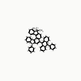 CC1(C)c2ccccc2-c2c1ccc1c(-c3c4ccccc4c(-c4ccccc4)c4ccccc34)cc3c(c4ccccc4n3-c3ccccc3)c21